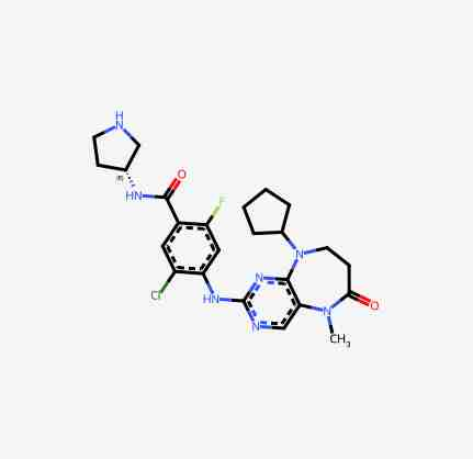 CN1C(=O)CCN(C2CCCC2)c2nc(Nc3cc(F)c(C(=O)N[C@@H]4CCNC4)cc3Cl)ncc21